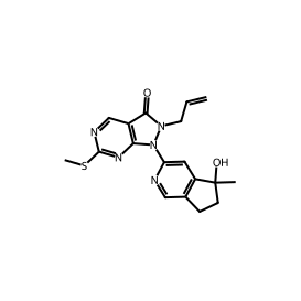 C=CCn1c(=O)c2cnc(SC)nc2n1-c1cc2c(cn1)CCC2(C)O